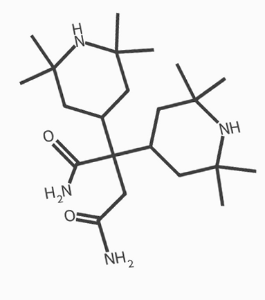 CC1(C)CC(C(CC(N)=O)(C(N)=O)C2CC(C)(C)NC(C)(C)C2)CC(C)(C)N1